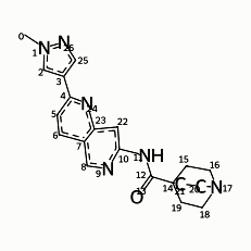 Cn1cc(-c2ccc3cnc(NC(=O)C45CCN(CC4)CC5)cc3n2)cn1